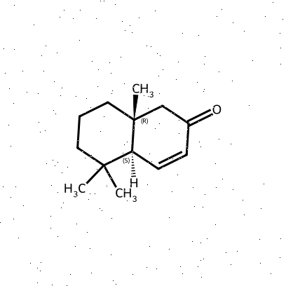 CC1(C)CCC[C@]2(C)CC(=O)C=C[C@@H]12